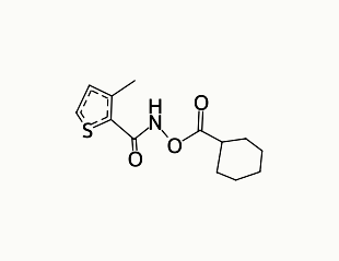 Cc1ccsc1C(=O)NOC(=O)C1CCCCC1